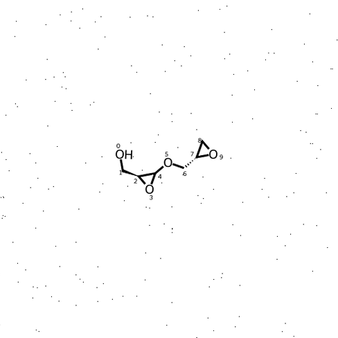 OC[C@@H]1OC1OC[C@@H]1CO1